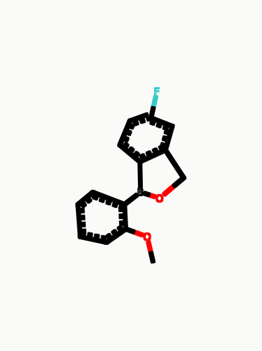 COc1ccccc1B1OCc2cc(F)ccc21